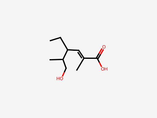 CCC(/C=C(\C)C(=O)O)C(C)CO